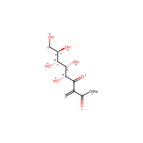 C=C(C(=O)OC)C(=O)[C@H](O)[C@@H](O)[C@H](O)[C@H](O)CO